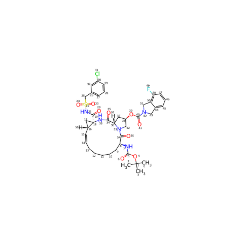 CC(C)(C)OC(=O)N[C@H]1CCCCC/C=C\[C@@H]2C[C@@]2(C(=O)NS(=O)(=O)Cc2cccc(Cl)c2)NC(=O)[C@@H]2C[C@@H](OC(=O)N3Cc4cccc(F)c4C3)CN2C1=O